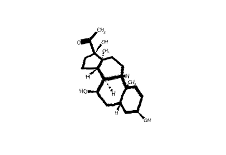 CC(=O)[C@@]1(O)CC[C@H]2[C@@H]3[C@H](O)C[C@H]4C[C@H](O)CC[C@]4(C)[C@H]3CC[C@@]21C